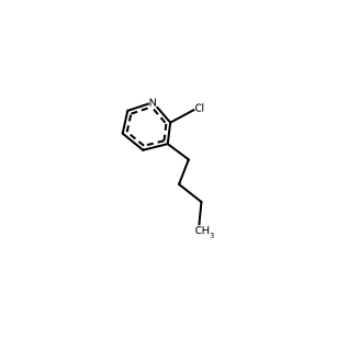 CCCCc1cccnc1Cl